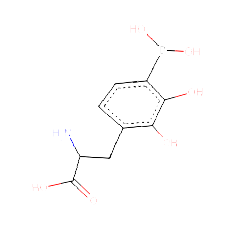 NC(Cc1ccc(B(O)O)c(O)c1O)C(=O)O